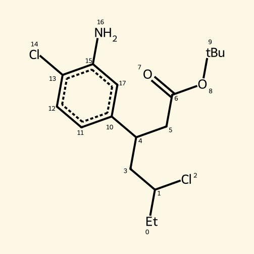 CCC(Cl)CC(CC(=O)OC(C)(C)C)c1ccc(Cl)c(N)c1